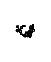 [2H]C1([2H])N(CC2CCN(CCOc3ccc(C(=C(CCCl)c4ccccc4)c4ccc(O)cc4)cc3)CC2)C([2H])([2H])C([2H])([2H])N(c2ccc3c(c2F)C(=O)N(C2CCC(=O)NC2=O)C3=O)C1([2H])[2H]